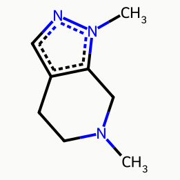 CN1CCc2cnn(C)c2C1